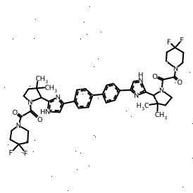 CC1(C)CCN(C(=O)C(=O)N2CCC(F)(F)CC2)C1c1nc(-c2ccc(-c3ccc(-c4c[nH]c(C5N(C(=O)C(=O)N6CCC(F)(F)CC6)CCC5(C)C)n4)cc3)cc2)c[nH]1